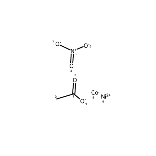 CC(=O)[O-].O=[N+]([O-])[O-].[Co].[Ni+2]